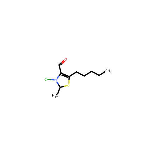 CCCCCC1=C(C=O)N(Cl)C(C)S1